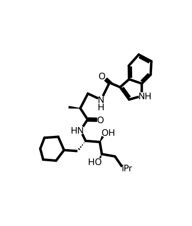 CC(C)C[C@H](O)[C@H](O)[C@H](CC1CCCCC1)NC(=O)[C@@H](C)CNC(=O)c1c[nH]c2ccccc12